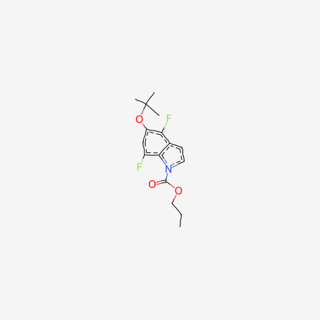 CCCOC(=O)n1ccc2c(F)c(OC(C)(C)C)cc(F)c21